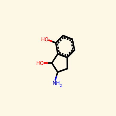 NC1Cc2cccc(O)c2C1O